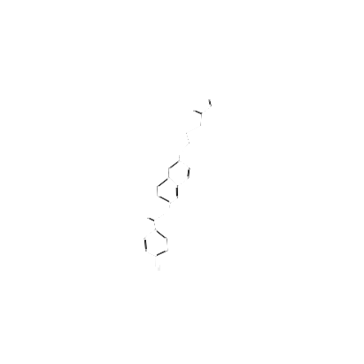 C=CC(=O)CCCOc1ccc2cc(OC(=O)c3ccc(CCC)cc3)ccc2c1